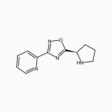 c1ccc(-c2noc([C@H]3CCCN3)n2)nc1